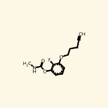 C#CCCCOc1cccc(OC(=O)NC)c1F